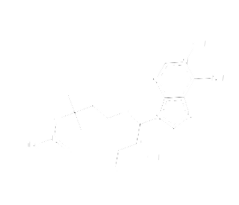 CCC(C)[PH](=O)OC(C)(C)CCOC([C@H](O)CO)n1cnc2c(N)[n+](O)cnc21